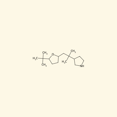 CC(C)(C)C1CCC(CC(C)(C)C2CCNC2)O1